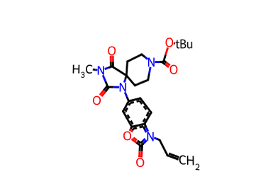 C=CCn1c(=O)oc2cc(N3C(=O)N(C)C(=O)C34CCN(C(=O)OC(C)(C)C)CC4)ccc21